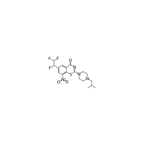 CC(C)CN1CCN(c2nc(=O)c3cc(C(F)C(F)F)cc([N+](=O)[O-])c3s2)CC1